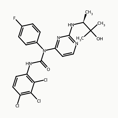 C[C@H](Nc1nccc(N(C(=O)Nc2ccc(Cl)c(Cl)c2Cl)c2ccc(F)cc2)n1)C(C)(C)O